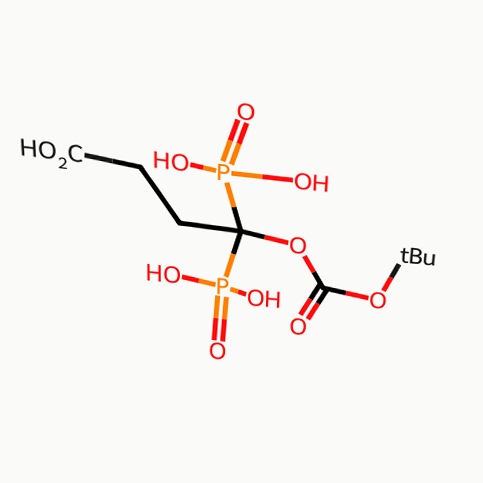 CC(C)(C)OC(=O)OC(CCC(=O)O)(P(=O)(O)O)P(=O)(O)O